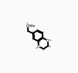 COCc1ccc2c(c1)OCCO2